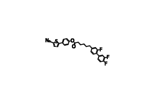 N#Cc1ccc(-c2ccc(OC(=O)CCCCCc3ccc(-c4ccc(F)c(F)c4)c(F)c3)cc2)s1